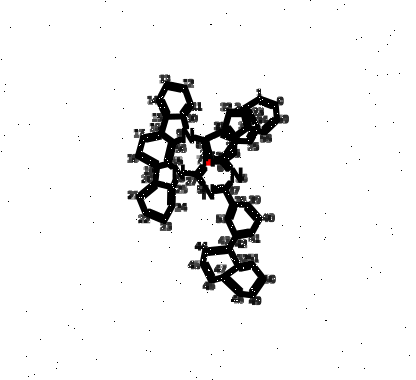 c1ccc(-c2cccc(-n3c4ccccc4c4ccc5c6ccccc6n(-c6nc(-c7ccccc7)nc(-c7cccc(-c8cccc9ccccc89)c7)n6)c5c43)c2)cc1